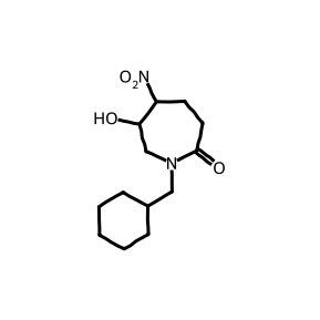 O=C1CCC([N+](=O)[O-])C(O)CN1CC1CCCCC1